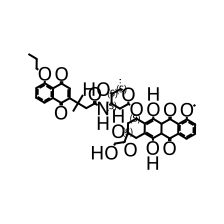 CCCOc1cccc2c1C(=O)C=C(C(C)(C)CC(=O)N[C@H]1CC(O[C@H]3C[C@](O)(C(=O)CO)CC4=C(O)C5C(=O)c6cccc(OC)c6C(=O)C5C(O)=C43)O[C@@H](C)[C@H]1O)C2=O